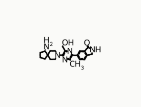 Cc1nc(N2CCC3(CCC[C@H]3N)CC2)c(CO)nc1-c1ccc2c(c1)C(=O)NC2